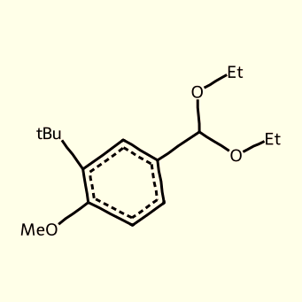 CCOC(OCC)c1ccc(OC)c(C(C)(C)C)c1